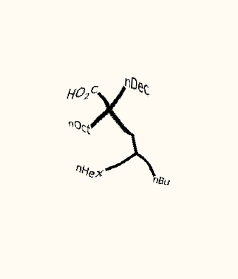 CCCCCCCCCCC(CCCCCCCC)(CC(CCCC)CCCCCC)C(=O)O